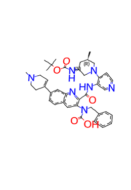 C[C@@H]1C[C@H](NC(=O)OC(C)(C)C)CN(c2ccncc2NC(=O)c2nc3cc(C4=CCN(C)CC4)ccc3cc2N(Cc2ccccc2)C(=O)O)C1